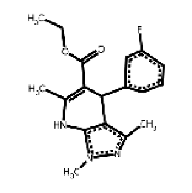 CCOC(=O)C1=C(C)Nc2c(c(C)nn2C)C1c1cccc(F)c1